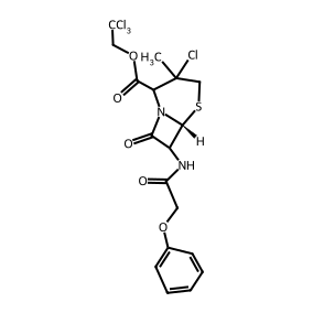 CC1(Cl)CS[C@@H]2C(NC(=O)COc3ccccc3)C(=O)N2C1C(=O)OCC(Cl)(Cl)Cl